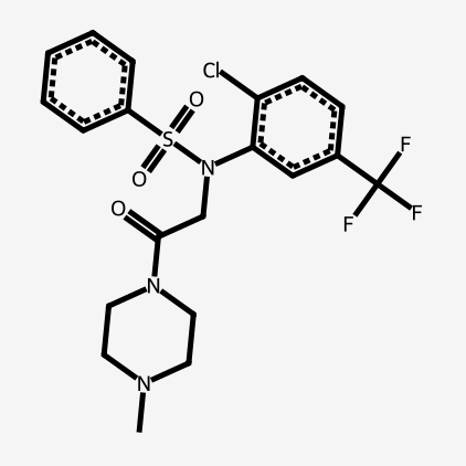 CN1CCN(C(=O)CN(c2cc(C(F)(F)F)ccc2Cl)S(=O)(=O)c2ccccc2)CC1